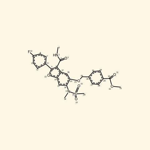 CNC(=O)c1c(-c2ccc(F)cc2)oc2cc(N(C)S(C)(=O)=O)c(OCc3ccc(C(=O)OC)cc3)cc12